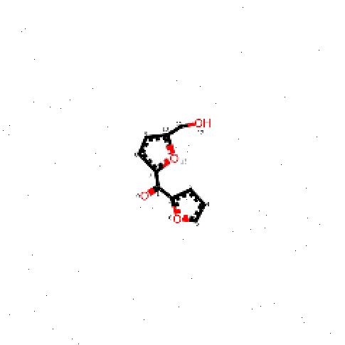 O=C(c1ccco1)c1ccc(CO)o1